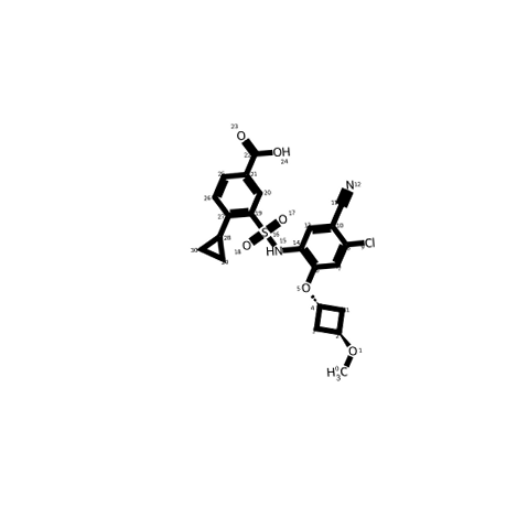 CO[C@H]1C[C@H](Oc2cc(Cl)c(C#N)cc2NS(=O)(=O)c2cc(C(=O)O)ccc2C2CC2)C1